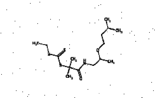 CCSC(=S)SC(C)(C)C(=O)NCC(C)OCCC(C)C